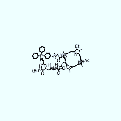 CC[C@H]1c2cc3[nH]c(c(CC(=O)OC)c4nc(cc5[nH]c(cc(n2)[C@@H]1C)c(C(C)=O)c5C)[C@@H](C)[C@@H]4CCC(=O)NCCC[C@H](NC(=O)CC[PH](c1ccccc1)(c1ccccc1)c1ccccc1)C(=O)OC(C)(C)C)c(C(=O)N[N+](C)(C)C)c3C